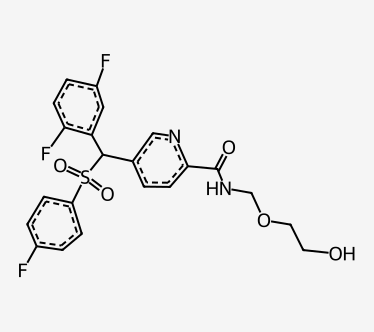 O=C(NCOCCO)c1ccc(C(c2cc(F)ccc2F)S(=O)(=O)c2ccc(F)cc2)cn1